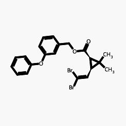 CC1(C)[C@H](C(=O)OCc2cccc(Oc3ccccc3)c2)[C@@H]1C=C(Br)Br